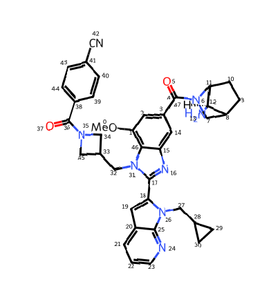 COc1cc(C(=O)N2CC3CCC2[C@@H]3N)cc2nc(-c3cc4cccnc4n3CC3CC3)n(CC3CN(C(=O)c4ccc(C#N)cc4)C3)c12